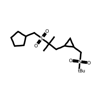 CC(C)(C)S(=O)(=O)CC1CC1CC(C)(C)S(=O)(=O)CC1CCCC1